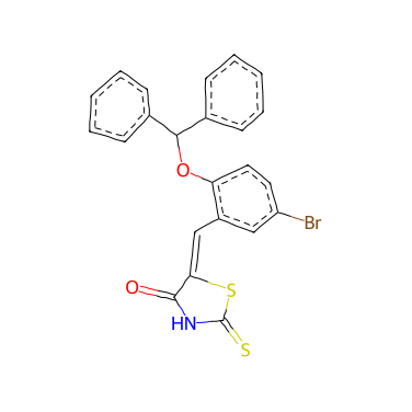 O=C1NC(=S)S/C1=C\c1cc(Br)ccc1OC(c1ccccc1)c1ccccc1